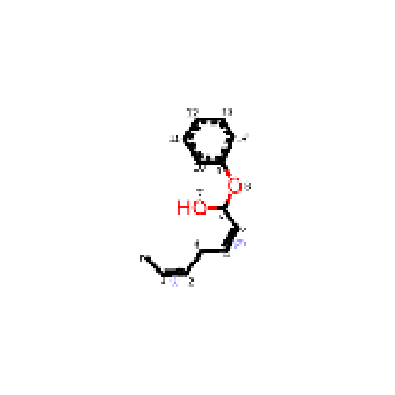 C/C=C\C/C=C\C(O)Oc1ccccc1